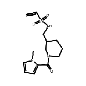 C=CS(=O)(=O)NCC1CCCN(C(=O)c2cccn2C)C1